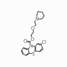 O=C(OCCOCCN1CCCCC1)N1c2ccccc2Sc2ccc(Cl)cc21